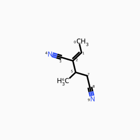 CC=C(C#N)C(C)CC#N